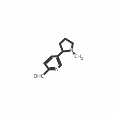 CN1CCCC1c1ccc(C=O)nc1